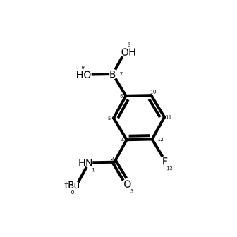 CC(C)(C)NC(=O)c1cc(B(O)O)ccc1F